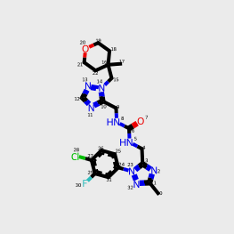 Cc1nc(CNC(=O)NCc2ncnn2CC2(C)CCOCC2)n(-c2ccc(Cl)c(F)c2)n1